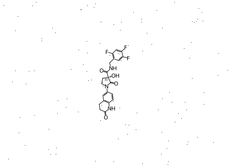 O=C1CCc2cc(N3CC[C@](O)(C(=O)NCc4cc(F)c(F)cc4F)C3=O)ccc2N1